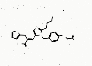 CCCCc1ncc(/C=C(\Cc2cccs2)C(=O)O)n1Cc1ccc(OCC(=O)O)cc1